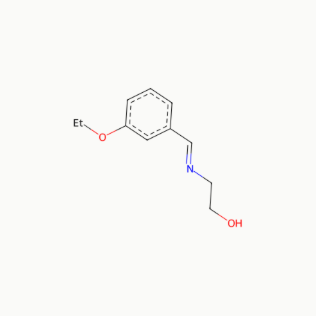 CCOc1cccc(C=NCCO)c1